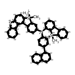 C[Si]1(C)c2cc(N(c3ccc(-c4cccc5ccccc45)cc3)c3cccc4c3[Si](C)(C)c3ccccc3-4)ccc2-c2c1ccc1sc3ccccc3c21